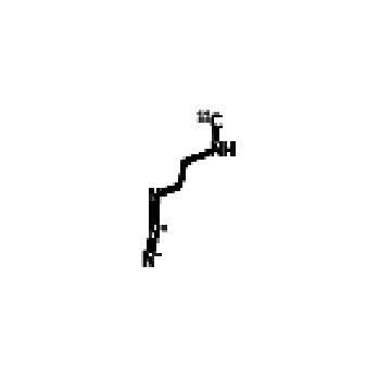 [11CH3]NCCN=[N+]=[N-]